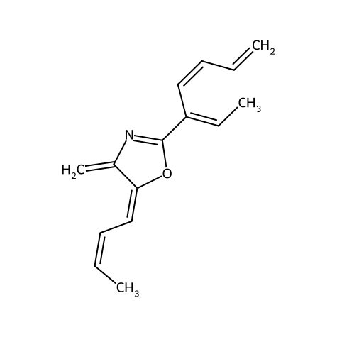 C=C/C=C\C(=C/C)c1nc(=C)/c(=C\C=C/C)o1